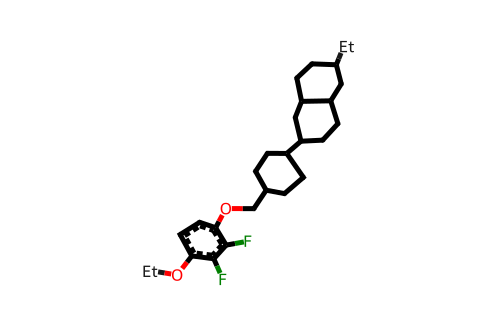 CCOc1ccc(OCC2CCC(C3CCC4CC(CC)CCC4C3)CC2)c(F)c1F